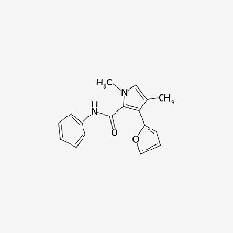 Cc1cn(C)c(C(=O)Nc2ccccc2)c1-c1ccco1